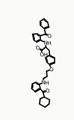 O=C(c1ccccc1)c1ccccc1NC(Cc1ccc(OCCCNc2ccccc2C(=O)C2CCCCC2)cc1)C(=O)O